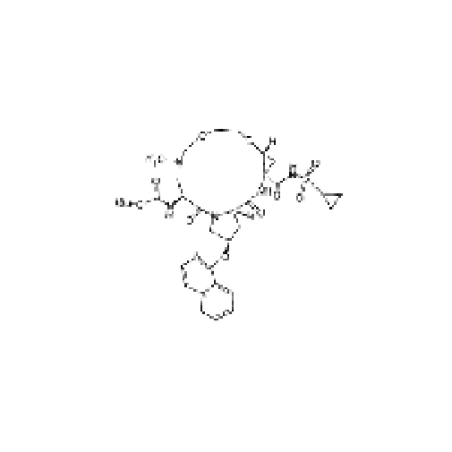 CN1CCCCC[C@@H]2C[C@@]2(C(=O)NS(=O)(=O)C2CC2)NC(=O)[C@@H]2C[C@@H](Oc3nccc4ccccc34)CN2C(=O)[C@@H](NC(=O)OC(C)(C)C)C1